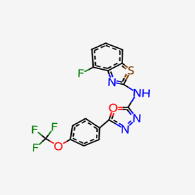 Fc1cccc2sc(Nc3nnc(-c4ccc(OC(F)(F)F)cc4)o3)nc12